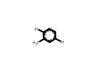 CCc1[c]c(C)c(CC)[c]c1